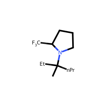 CCCC(C)(CC)N1CCCC1C(F)(F)F